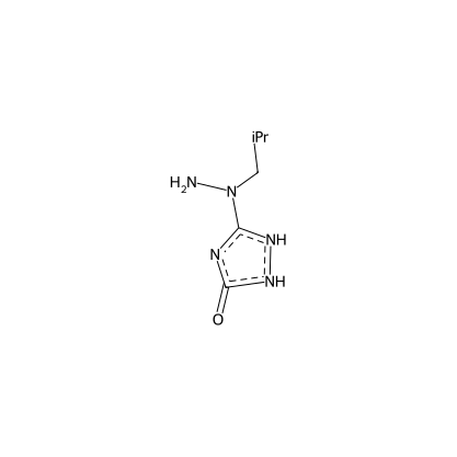 CC(C)CN(N)c1nc(=O)[nH][nH]1